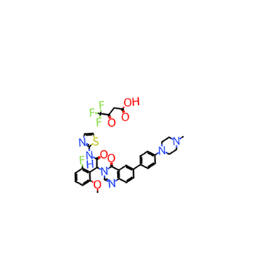 COc1cccc(F)c1C(C(=O)Nc1nccs1)n1cnc2ccc(-c3ccc(N4CCN(C)CC4)cc3)cc2c1=O.O=C(O)CC(=O)C(F)(F)F